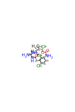 CC(C)COC(N)=O.Cl.N=C(N)NC(=O)Cc1c(Cl)cccc1Cl